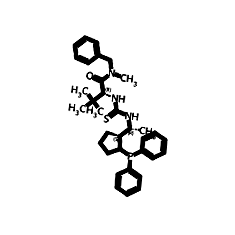 C[C@@H](NC(=S)N[C@@H](C(=O)N(C)Cc1ccccc1)C(C)(C)C)[C@@H]1CCCC1P(c1ccccc1)c1ccccc1